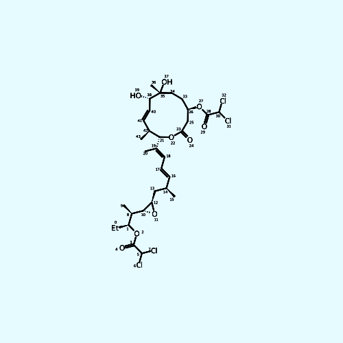 CC[C@H](OC(=O)C(Cl)Cl)[C@@H](C)[C@H]1O[C@@H]1C[C@H](C)/C=C/C=C(\C)[C@H]1OC(=O)C[C@H](OC(=O)C(Cl)Cl)CC[C@@](C)(O)[C@@H](O)/C=C/[C@@H]1C